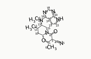 CC(=O)C(C#N)C(=O)N1CC[C@@H](C)[C@@H](N(C)c2ncnc3[nH]ccc23)C1